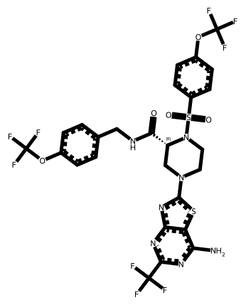 Nc1nc(C(F)(F)F)nc2nc(N3CCN(S(=O)(=O)c4ccc(OC(F)(F)F)cc4)[C@@H](C(=O)NCc4ccc(OC(F)(F)F)cc4)C3)sc12